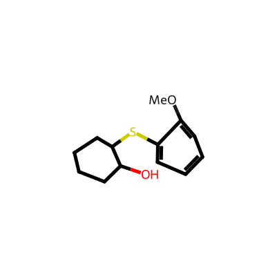 COc1ccccc1SC1CCCCC1O